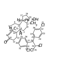 C[C@]12CC[C@H]3[C@@H](CCC4=CC(=O)CC[C@@]43C)[C@@H]1CC[C@@H]2O.Clc1ccc(C(c2ccccc2Cl)C(Cl)Cl)cc1